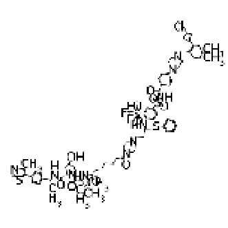 Cc1ncsc1-c1ccc([C@H](C)NC(=O)[C@@H]2C[C@@H](O)CN2C(=O)C(NC(=O)CCCCCC(=O)N2CCN(CCC(CSc3ccccc3)Nc3ccc(S(=O)(=O)NC(=O)c4ccc(N5CCN(CC6=C(C78CC(Cl)(C7)C8)CC(C)(C)CC6)CC5)cc4)cc3S(=O)(=O)C(F)(F)F)CC2)C(C)(C)C)cc1